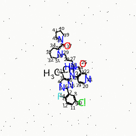 CC(C)c1cnc(-c2cc(Cl)ccc2F)nc1Nc1ccncc1C(=O)NCCCN1CCCCC1C(=O)N1CCCC1